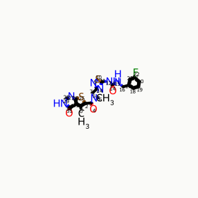 Cc1c(C(=O)N(C)Cc2nsc(NC(=O)NCc3cccc(F)c3)n2)sc2nc[nH]c(=O)c12